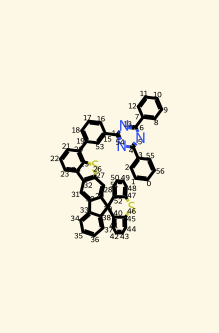 c1ccc(-c2nc(-c3ccccc3)nc(-c3cccc(-c4cccc5c4sc4cc6c(cc45)-c4ccccc4C64c5ccccc5Sc5ccccc54)c3)n2)cc1